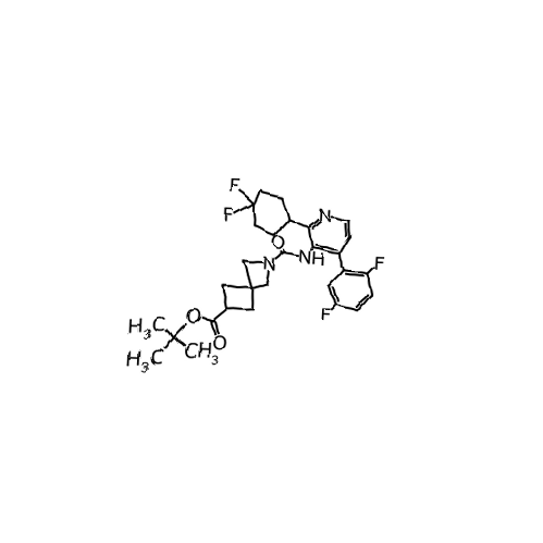 CC(C)(C)OC(=O)C1CC2(C1)CN(C(=O)Nc1c(-c3cc(F)ccc3F)ccnc1C1CCC(F)(F)CC1)C2